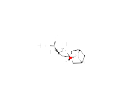 CC(C)CNC(=O)N1C2CC1CN(CS)C2